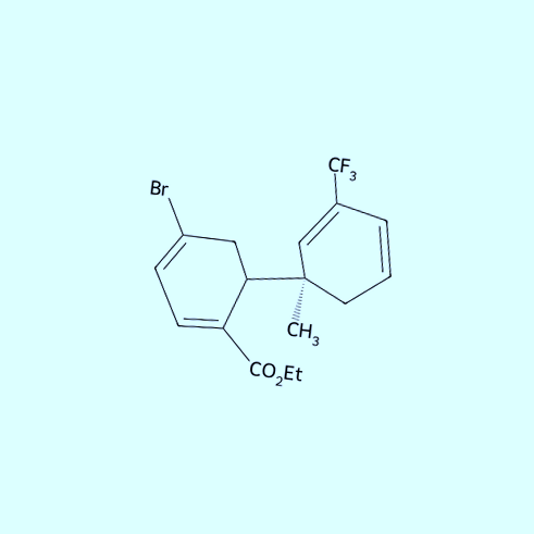 CCOC(=O)C1=CC=C(Br)CC1[C@@]1(C)C=C(C(F)(F)F)C=CC1